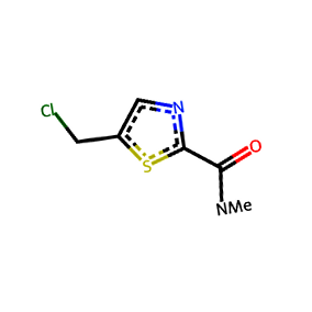 CNC(=O)c1ncc(CCl)s1